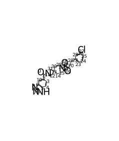 O=C(c1ccc2[nH]nnc2c1)N1CC2(CCN(S(=O)(=O)CCc3cccc(Cl)c3)CC2)C1